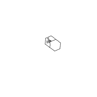 S=[PH]1C2CCCC1CCC2